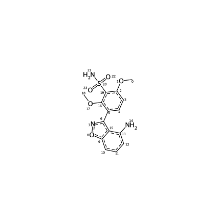 COc1ccc(-c2noc3cccc(N)c23)c(OC)c1S(N)(=O)=O